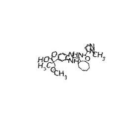 COCC(C)(C(=O)O)c1ccc2nc([C@@H](NC(=O)c3ccnn3C)C3CCCCCCC3)[nH]c2c1